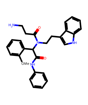 COc1ccccc1C(C(=O)Nc1ccccc1)N(CCc1c[nH]c2ccccc12)C(=O)CCN